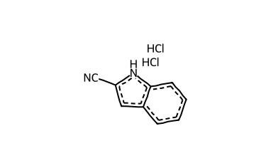 Cl.Cl.N#Cc1cc2ccccc2[nH]1